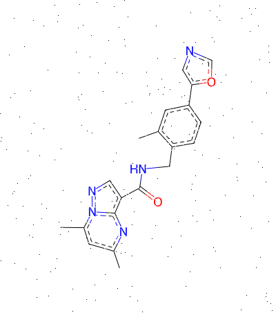 Cc1cc(C)n2ncc(C(=O)NCc3ccc(-c4cnco4)cc3C)c2n1